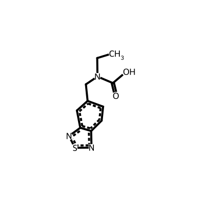 CCN(Cc1ccc2nsnc2c1)C(=O)O